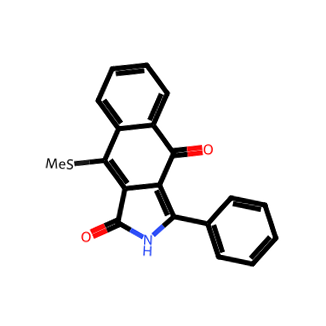 CSC1=C2C(=O)NC(c3ccccc3)=C2C(=O)c2ccccc21